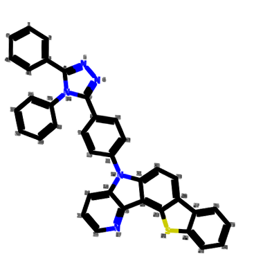 c1ccc(-c2nnc(-c3ccc(-n4c5cccnc5c5c6sc7ccccc7c6ccc54)cc3)n2-c2ccccc2)cc1